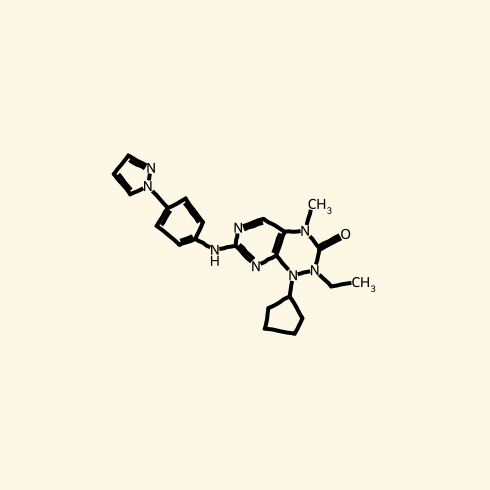 CCN1C(=O)N(C)c2cnc(Nc3ccc(-n4cccn4)cc3)nc2N1C1CCCC1